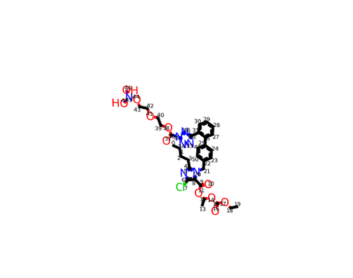 CCCCc1nc(Cl)c(C(=O)OC(C)OC(=O)OCC)n1Cc1ccc(-c2ccccc2-c2nnn(C(=O)OCCOCCON(O)O)n2)cc1